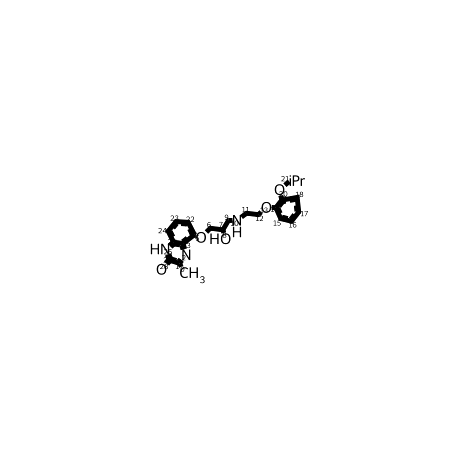 Cc1nc2c(OCC(O)CNCCOc3ccccc3OC(C)C)cccc2[nH]c1=O